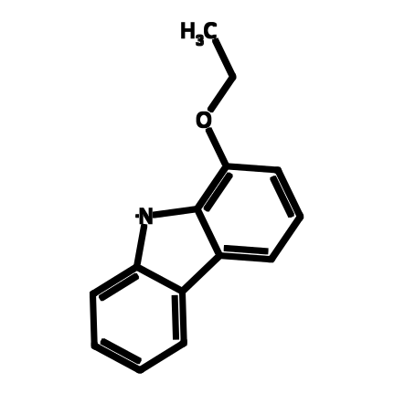 CCOc1cccc2c1[N]c1ccccc1-2